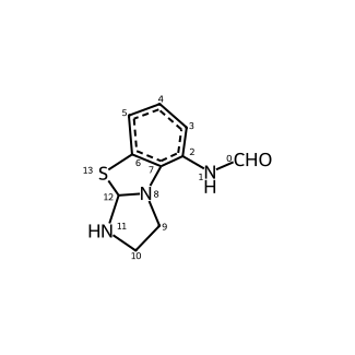 O=CNc1cccc2c1N1CCNC1S2